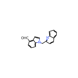 O=Cc1cccc2c1ccn2Cc1ccc2ccccc2n1